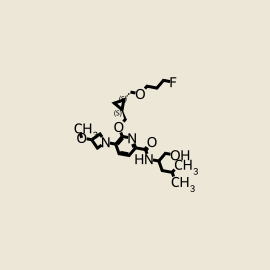 COC1CN(c2ccc(C(=O)NC(CO)CC(C)C)nc2OC[C@H]2C[C@@H]2COCCCF)C1